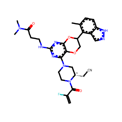 C=C(F)C(=O)N1CCN(c2nc(NCCC(=O)N(C)C)nc3c2OCC(c2c(C)ccc4[nH]ncc24)O3)C[C@@H]1CC#N